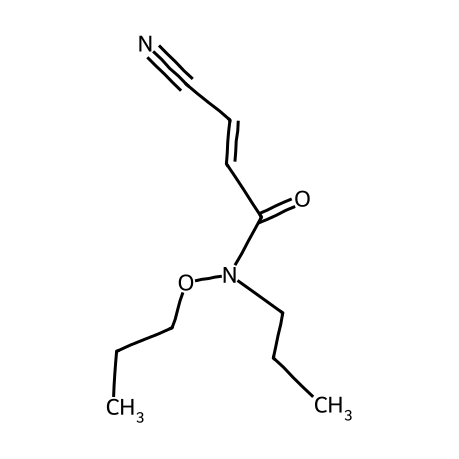 CCCON(CCC)C(=O)/C=C/C#N